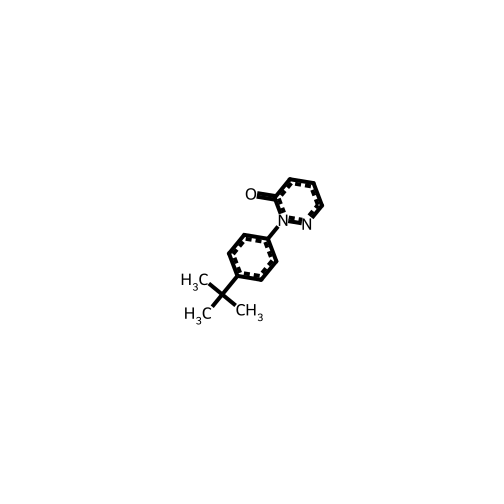 CC(C)(C)c1ccc(-n2ncccc2=O)cc1